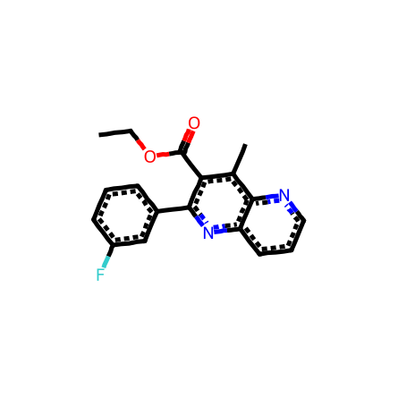 CCOC(=O)c1c(-c2cccc(F)c2)nc2cccnc2c1C